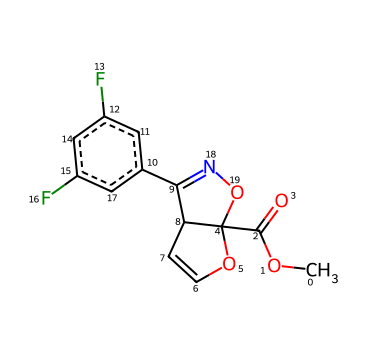 COC(=O)C12OC=CC1C(c1cc(F)cc(F)c1)=NO2